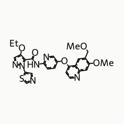 CCOc1cnn(-c2cncs2)c1C(=O)Nc1ccc(Oc2ccnc3cc(OC)c(COC)cc23)cn1